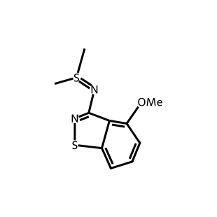 COc1cccc2snc(N=S(C)C)c12